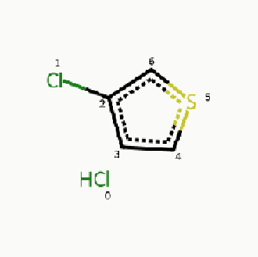 Cl.Clc1ccsc1